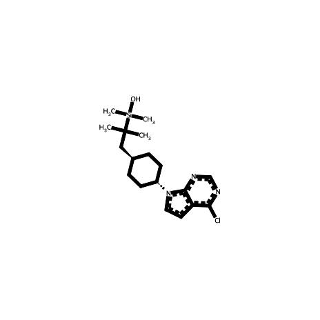 CC(C)(C[C@H]1CC[C@H](n2ccc3c(Cl)ncnc32)CC1)[Si](C)(C)O